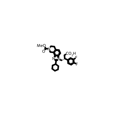 COC(=O)N1CCc2ccc3c(nc(C4CCCCC4)n3C[C@H](CC(=O)O)c3ccc(F)c(F)c3)c2C1